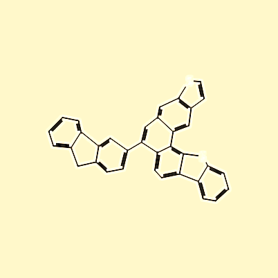 c1ccc2c(c1)Cc1ccc(-c3cc4cc5sccc5cc4c4c3ccc3c5ccccc5sc34)cc1-2